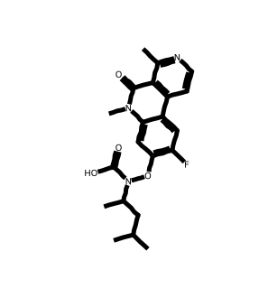 Cc1nccc2c1c(=O)n(C)c1cc(ON(C(=O)O)C(C)CC(C)C)c(F)cc21